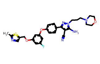 Cc1ncc(COc2cc(F)cc(Oc3ccc(-c4nn(CCCN5CCOCC5)c(N)c4C#N)cc3)c2)s1